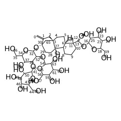 C=C1C[C@@]23CC[C@H]4C(CCC[C@@]4(C)C(=O)OC4OC(CO)C(O)C(O)C4O)[C@@H]2CC[C@]1(OC1OC(CO)C(O)C(OC2OC(CO)C(O)C(O)C2O)C1OC1OC(CO)C(O)C(O)C1O)C3